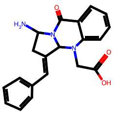 NC1CC(=Cc2ccccc2)C2N(CC(=O)O)c3ccccc3C(=O)N12